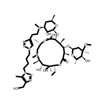 CC[C@H]1OC(=O)[C@H](C)[C@@H](O[C@H]2C[C@@](C)(OC)[C@@H](O)[C@H](C)O2)[C@H](C)[C@@H](O[C@@H]2O[C@H](C)C[C@H](N(C)CCc3cn(CCCCn4nnc(CO)c4I)nn3)[C@H]2O)[C@](C)(O)C[C@@H](C)CN(C)[C@H](C)[C@@H](O)[C@]1(C)O